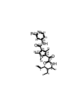 C=CCC(CC)C(C)NC(=O)C(=O)c1c(C)c(C(=O)Nc2ccnc(F)c2)c(C)n1C